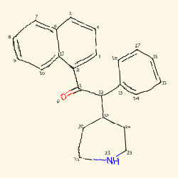 O=C(c1cccc2ccccc12)C(c1ccccc1)C1CCNCC1